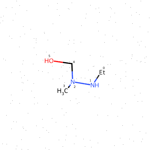 CCNN(C)CO